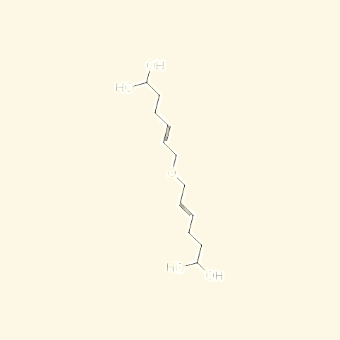 OC(O)CCC=CCOCC=CCCC(O)O